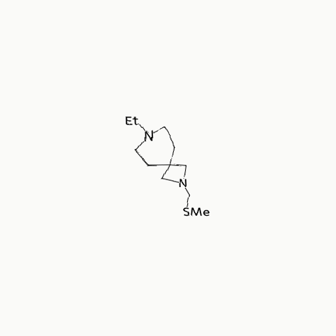 CCN1CCC2(CC1)CN(CSC)C2